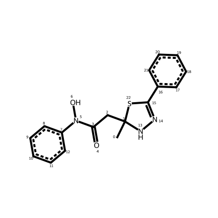 CC1(CC(=O)N(O)c2ccccc2)NN=C(c2ccccc2)S1